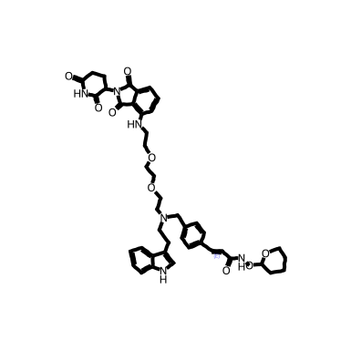 O=C(/C=C/c1ccc(CN(CCOCCOCCNc2cccc3c2C(=O)N(C2CCC(=O)NC2=O)C3=O)CCc2c[nH]c3ccccc23)cc1)NOC1CCCCO1